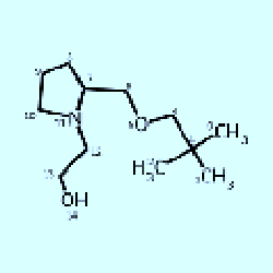 CC(C)(C)COCC1CCCN1CCO